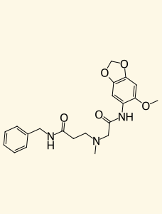 COc1cc2c(cc1NC(=O)CN(C)CCC(=O)NCc1ccccc1)OCO2